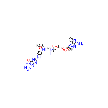 CCCCc1nc2c(N)nc3ccccc3c2n1CC(C)(C)OC(=O)OCCC(C)(C)OCC(C)(C)NC(=O)CCC(NC(=O)c1ccc(NCc2cnc3nc(N)[nH]c(=O)c3n2)cc1)C(=O)O